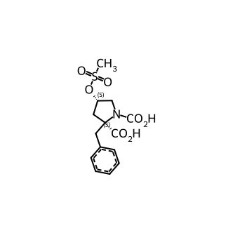 CS(=O)(=O)O[C@@H]1CN(C(=O)O)[C@](Cc2ccccc2)(C(=O)O)C1